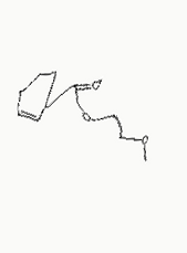 COCCOC(=O)C1C=CCCC1